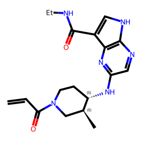 C=CC(=O)N1CC[C@H](Nc2cnc3[nH]cc(C(=O)NCC)c3n2)[C@@H](C)C1